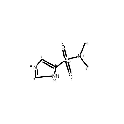 [CH2]N(C)S(=O)(=O)c1cnc[nH]1